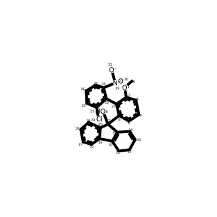 COc1cccc(C2(O)C3=C(CCC=C3)c3ccccc32)c1-c1c(Cl)cccc1[N+](=O)[O-]